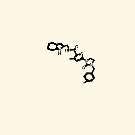 Cc1cc(N2CCN(Cc3ccc(F)cc3)C2=O)sc1C(=O)NCc1cc2ccccc2[nH]1